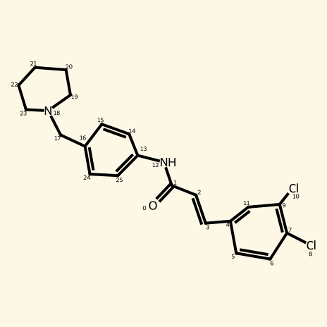 O=C(/C=C/c1ccc(Cl)c(Cl)c1)Nc1ccc(CN2CCCCC2)cc1